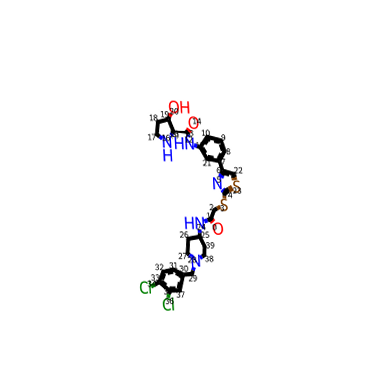 O=C(CSc1nc(-c2cccc(NC(=O)[C@H]3NCCC3O)c2)cs1)NC1CCN(Cc2ccc(Cl)c(Cl)c2)CC1